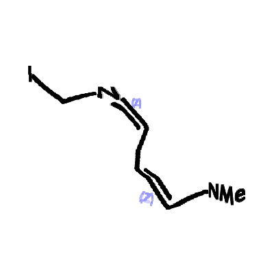 CN/C=C\C=N/CI